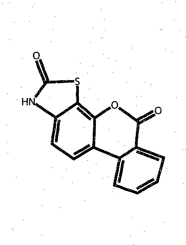 O=c1[nH]c2ccc3c4ccccc4c(=O)oc3c2s1